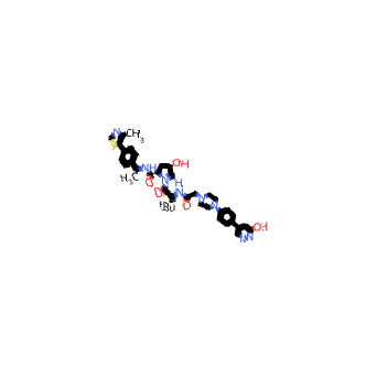 Cc1ncsc1-c1ccc([C@H](C)NC(=O)[C@@H]2C[C@@H](O)CN2C(=O)C(NC(=O)CN2CCN(c3ccc(-c4cnnc(O)c4)cc3)CC2)C(C)(C)C)cc1